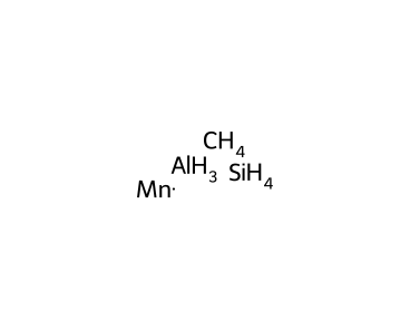 C.[AlH3].[Mn].[SiH4]